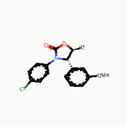 CC[C@@H]1OC(=O)N(c2ccc(Cl)cc2)[C@H]1c1cccc(OC)c1